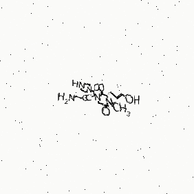 CN1C(=O)CN([C@@H](CCCCN)C(=O)N2CCNCC2)C(=O)[C@@H]1CCCO